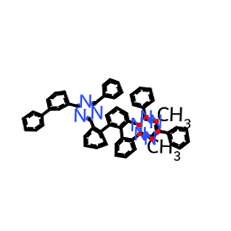 Cc1cc(C)nc(-c2cccc(-c3ccccc3-c3nc(-c4ccccc4)nc(-c4cccc(-c5ccccc5)c4)n3)c2-c2ccccc2-c2nc(-c3ccccc3)nc(-c3ccccc3)n2)n1